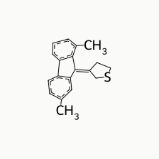 Cc1ccc2c(c1)/C(=C1/CCSC1)c1c(C)cccc1-2